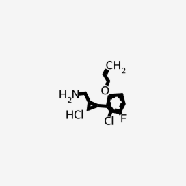 C=CCOc1ccc(F)c(Cl)c1C1CC1CN.Cl